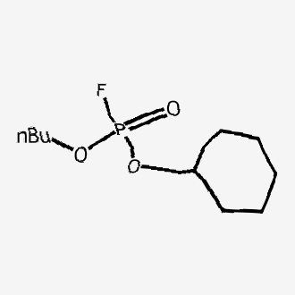 CCCCOP(=O)(F)OC1CCCCC1